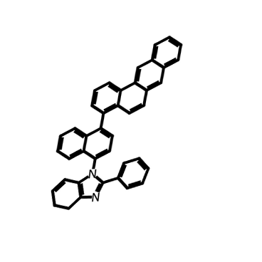 C1=Cc2c(nc(-c3ccccc3)n2-c2ccc(-c3cccc4c3ccc3cc5ccccc5cc34)c3ccccc23)CC1